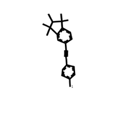 [CH]c1ccc(C#Cc2ccc3c(c2)C(C)(C)C(C)C3(C)C)cc1